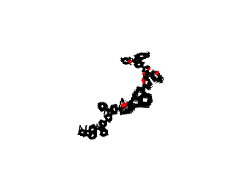 c1ccc(-n2c3ccccc3c3cc(-c4ccc5c(c4)c4cc(-c6ccc7c8c(cccc68)-c6ccc(-c8ccc9c(c8)c8ccc(-c%10ccc%11c(c%10)c%10ccccc%10n%11-c%10ccc%11c%12c(cccc%10%12)-c%10cccnc%10-%11)cc8n9-c8ccccc8)nc6-7)ccc4n5-c4ccccc4)ccc32)cc1